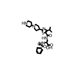 CC(C)c1nc(C2CCN(C3CCNCC3)CC2)sc1C(=O)NCC(NS(=O)(=O)c1ccccc1)C(=O)O